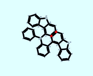 c1ccc(N(c2ccccc2-c2cccc3sc4ccccc4c23)c2cccc3oc4ccccc4c23)cc1